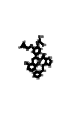 O=C(OC(Cc1c(Cl)cncc1Cl)c1ccc(OC(F)F)c(OCC2CC2)c1)C1SCCN1CCc1ccccc1